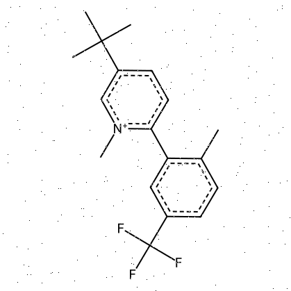 Cc1ccc(C(F)(F)F)cc1-c1ccc(C(C)(C)C)c[n+]1C